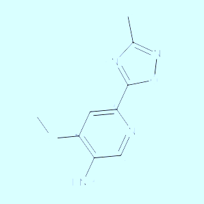 COc1cc(-c2nc(C)no2)ncc1N